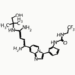 CC(C)(CO)N/C(N)=C/C=C(\N)c1ccn2c(-c3cccc(NC(=O)NCC(F)(F)F)c3)cnc2c1